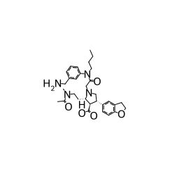 CCCCN(C(=O)CN1C[C@H](c2ccc3c(c2)CCO3)[C@@H](C(=O)O)[C@@H]1CCN(C)C(C)=O)c1cccc(CN)c1